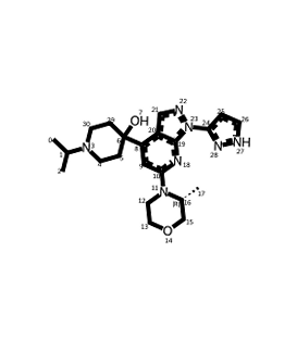 CC(C)N1CCC(O)(c2cc(N3CCOC[C@H]3C)nc3c2cnn3-c2cc[nH]n2)CC1